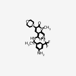 C[C@@H](Nc1nncc2c1cc(N1CCOCC1)c(=O)n2C)c1cc(N)cc(C(F)(F)F)c1